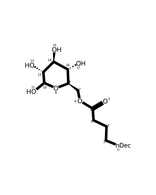 CCCCCCCCCCCCCC(=O)OC[C@H]1OC(O)[C@H](O)[C@@H](O)[C@@H]1O